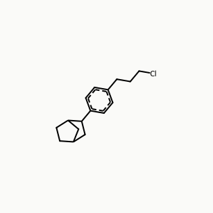 ClCCCc1ccc(C2CC3CCC2C3)cc1